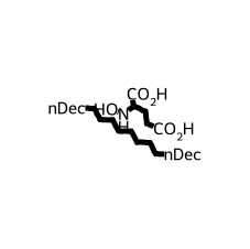 CCCCCCCCCCCCCCCCCCCCCCCCCCCC.O=C(O)CCC(NO)C(=O)O